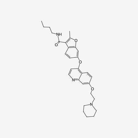 CCCCNC(=O)c1c(C)oc2cc(Oc3ccnc4cc(OCCN5CCCCC5)ccc34)ccc12